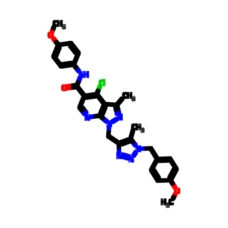 COc1ccc(Cn2nnc(Cn3nc(C)c4c(Cl)c(C(=O)Nc5ccc(OC)cc5)cnc43)c2C)cc1